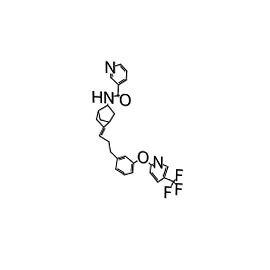 O=C(NC1CC2CC1C/C2=C/CCc1cccc(Oc2ccc(C(F)(F)F)cn2)c1)c1cccnc1